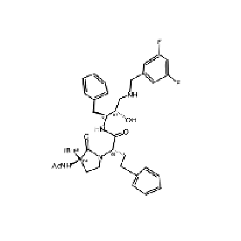 CC[C@H](C)[C@@]1(NC(C)=O)CCN([C@@H](CCc2ccccc2)C(=O)N[C@@H](Cc2ccccc2)[C@@H](O)CNCc2cc(F)cc(F)c2)C1=O